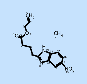 C.C=CCOC(=O)CCCc1nc2cc([N+](=O)[O-])ccc2[nH]1